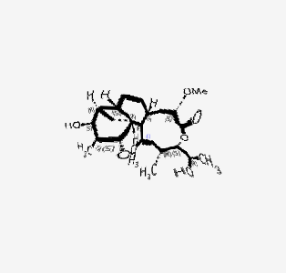 CO[C@H]1C[C@H]2C=C[C@H]3[C@H]4C[C@]2(/C(C)=C/[C@@H](C)[C@@H]([C@@H](C)O)OC1=O)[C@@H]3[C@H](O)[C@@H](C)[C@H]4O